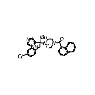 CC[C@H](C)C(Cc1ccc(Cl)cc1)(c1cnc[nH]1)N1CCN(C(=O)c2cccc3ccccc23)CC1